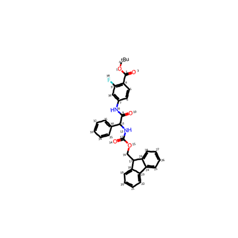 CC(C)(C)OC(=O)c1ccc(NC(=O)C(NC(=O)OCC2c3ccccc3-c3ccccc32)c2ccccc2)cc1F